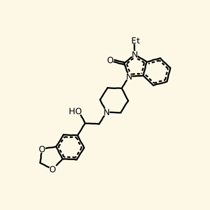 CCn1c(=O)n(C2CCN(CC(O)c3ccc4c(c3)OCO4)CC2)c2ccccc21